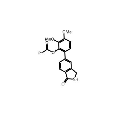 COc1ccc(-c2ccc3c(c2)CNC3=O)c(OC(=O)C(C)C)c1OC